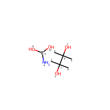 CC(C)(O)C(C)(C)O.NB(O)O